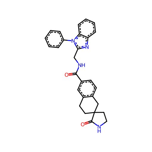 O=C(NCc1nc2ccccc2n1-c1ccccc1)c1ccc2c(c1)CCC1(CCNC1=O)C2